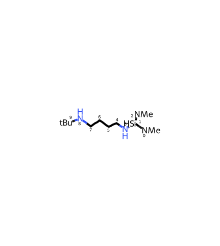 CN[SiH](NC)NCCCCNC(C)(C)C